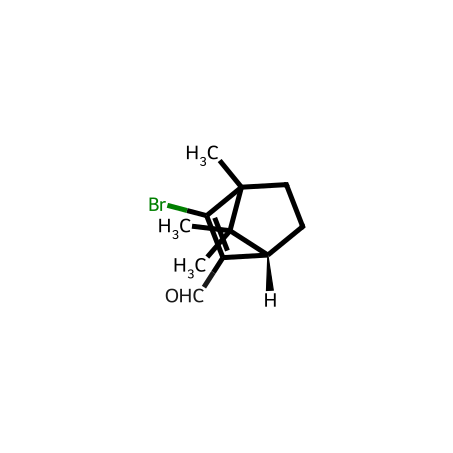 CC12CC[C@H](C(C=O)=C1Br)C2(C)C